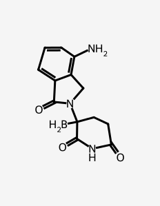 BC1(N2Cc3c(N)cccc3C2=O)CCC(=O)NC1=O